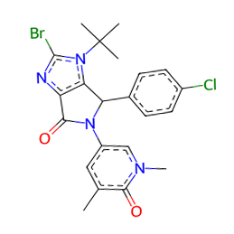 Cc1cc(N2C(=O)c3nc(Br)n(C(C)(C)C)c3C2c2ccc(Cl)cc2)cn(C)c1=O